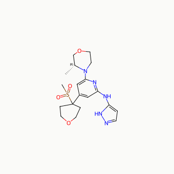 C[C@@H]1COCCN1c1cc(C2(S(C)(=O)=O)CCOCC2)cc(Nc2ccn[nH]2)n1